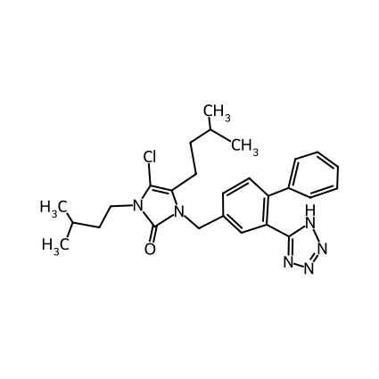 CC(C)CCc1c(Cl)n(CCC(C)C)c(=O)n1Cc1ccc(-c2ccccc2)c(-c2nnn[nH]2)c1